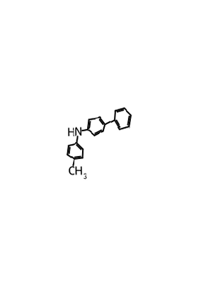 Cc1ccc(Nc2ccc(-c3ccccc3)cc2)cc1